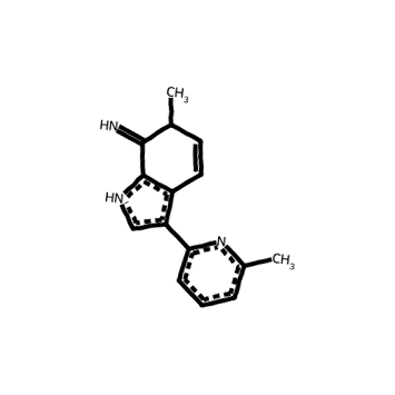 Cc1cccc(-c2c[nH]c3c2C=CC(C)C3=N)n1